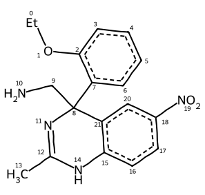 CCOc1ccccc1C1(CN)N=C(C)Nc2ccc([N+](=O)[O-])cc21